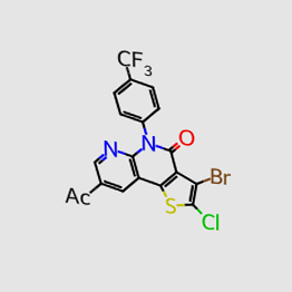 CC(=O)c1cnc2c(c1)c1sc(Cl)c(Br)c1c(=O)n2-c1ccc(C(F)(F)F)cc1